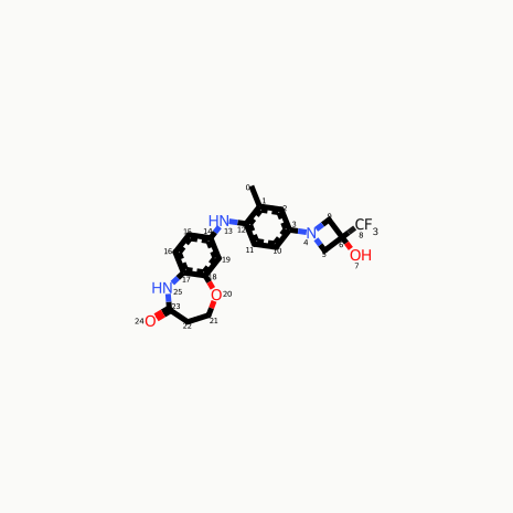 Cc1cc(N2CC(O)(C(F)(F)F)C2)ccc1Nc1ccc2c(c1)OCCC(=O)N2